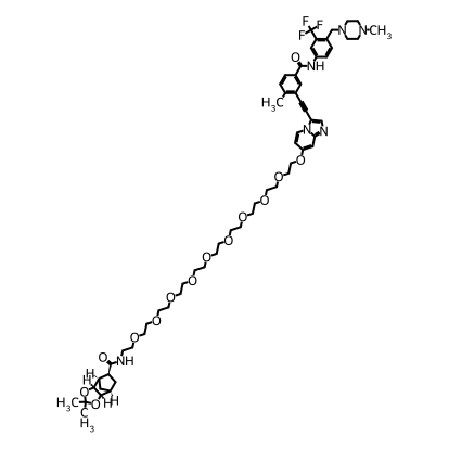 Cc1ccc(C(=O)Nc2ccc(CN3CCN(C)CC3)c(C(F)(F)F)c2)cc1C#Cc1cnc2cc(OCCOCCOCCOCCOCCOCCOCCOCCOCCOCCNC(=O)[C@H]3C[C@@H]4C[C@H]3[C@H]3OC(C)(C)O[C@@H]43)ccn12